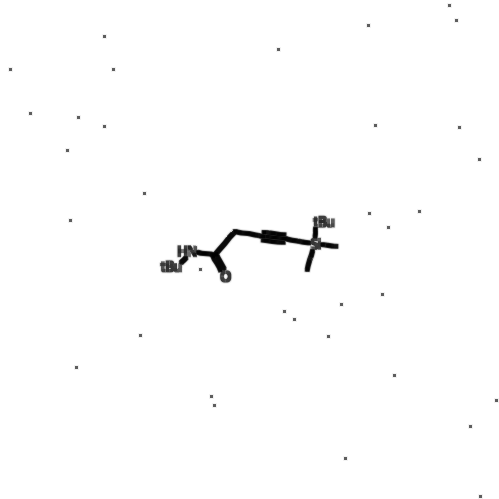 CC(C)(C)NC(=O)CC#C[Si](C)(C)C(C)(C)C